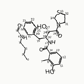 CCCCNC=O.Cc1c(O)cccc1C(=O)N[C@@H](Cc1ccccc1)[C@H](O)C(=O)N1CCSC1